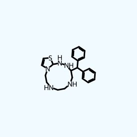 C1=CN2CCNCCNCC(C(c3ccccc3)c3ccccc3)NNC2S1